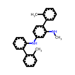 CNc1cc(Nc2ccccc2-c2ccccc2C)ccc1-c1ccccc1C